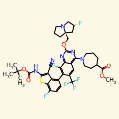 COC(=O)C1CCCN(c2nc(OC[C@@]34CCCN3C[C@H](F)C4)nc3c(F)c(-c4ccc(F)c5sc(NC(=O)OC(C)(C)C)c(C#N)c45)c(C(F)(F)F)cc23)CC1